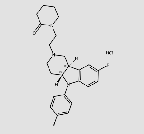 Cl.O=C1CCCCN1CCN1CC[C@@H]2[C@@H](C1)c1cc(F)ccc1N2c1ccc(F)cc1